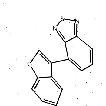 [c]1oc2ccccc2c1-c1cccc2nsnc12